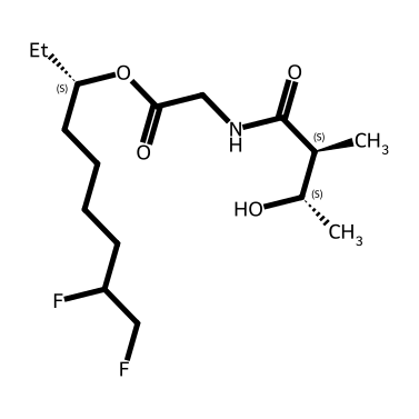 CC[C@@H](CCCCC(F)CF)OC(=O)CNC(=O)[C@@H](C)[C@H](C)O